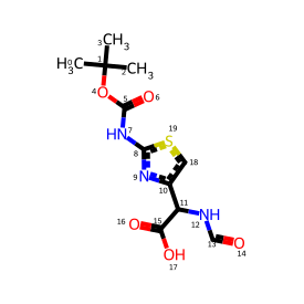 CC(C)(C)OC(=O)Nc1nc(C(NC=O)C(=O)O)cs1